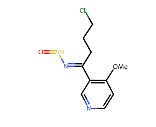 COc1ccncc1/C(CCCCl)=N/[SH]=O